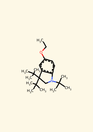 CCOc1ccc2c(c1)C(C(C)(C)C)(C(C)(C)C)CN2C(C)(C)C